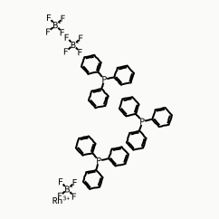 F[B-](F)(F)F.F[B-](F)(F)F.F[B-](F)(F)F.[Rh+3].c1ccc(P(c2ccccc2)c2ccccc2)cc1.c1ccc(P(c2ccccc2)c2ccccc2)cc1.c1ccc(P(c2ccccc2)c2ccccc2)cc1